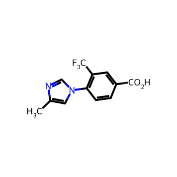 Cc1cn(-c2ccc(C(=O)O)cc2C(F)(F)F)cn1